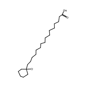 O=C(O)CCCCCCCCCCCCCCCC1(Cl)CCCCC1